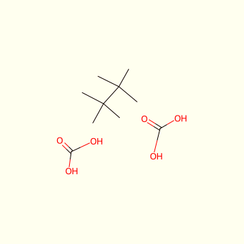 CC(C)(C)C(C)(C)C.O=C(O)O.O=C(O)O